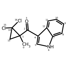 CC1(C(=O)c2c[nH]c3ccccc23)CC1(Cl)Cl